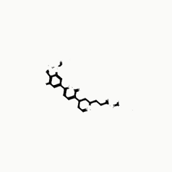 CCn1ncc2c(F)cc(-c3ccc(C4CC=NC(CCC(=O)NC(C)C)C4)c(=O)[nH]3)cc21